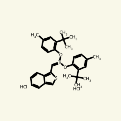 Cc1ccc([O][Ti](=[CH]c2scc3ccccc23)[O]c2ccc(C)cc2C(C)(C)C)c(C(C)(C)C)c1.Cl.Cl